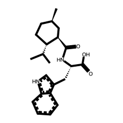 CC(C)[C@@H]1CC[C@@H](C)C[C@H]1C(=O)N[C@@H](Cc1c[nH]c2ccccc12)C(=O)O